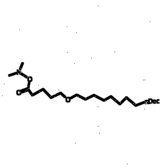 CCCCCCCCCCCCCCCCCCOCCCCC(=O)ON(C)C